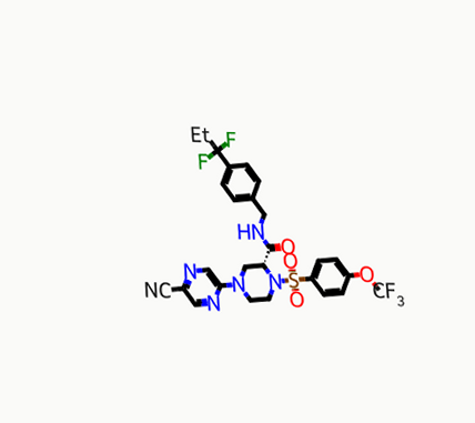 CCC(F)(F)c1ccc(CNC(=O)[C@H]2CN(c3cnc(C#N)cn3)CCN2S(=O)(=O)c2ccc(OC(F)(F)F)cc2)cc1